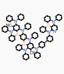 N#Cc1c(N(c2ccccc2)c2ccccc2)cc2c3c1N(c1ccccc1)c1ccccc1B3c1cc3c(cc1N2c1ccccc1)N(c1ccccc1)c1cc(N(c2ccccc2)c2ccc(-c4cccc(N5c6ccccc6B6c7ccccc7N(c7ccccc7)c7ccnc5c76)c4)cc2)c(C#N)c2c1B3c1ccccc1N2c1ccccc1